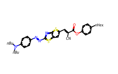 CCCCCCc1ccc(OC(=O)/C(C#N)=C/c2cc3sc(/N=N/c4ccc(N(CCCC)CCCC)cc4)nc3s2)cc1